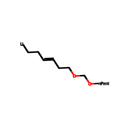 [Li][CH2]CC=CCCOCOCCCCC